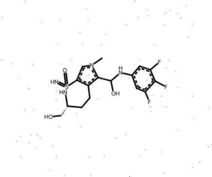 Cn1cc2c(c1C(O)Nc1cc(F)c(F)c(F)c1)CC[C@H](CO)NS2(=N)=O